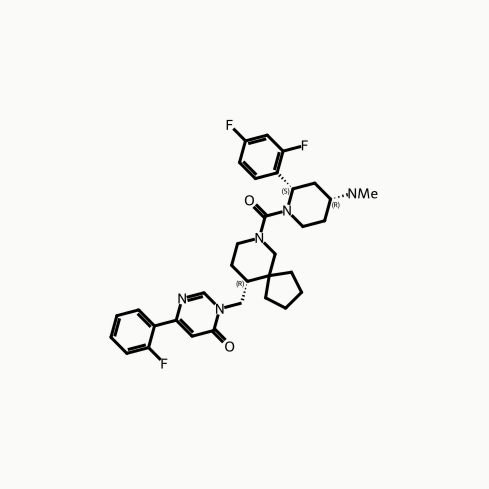 CN[C@@H]1CCN(C(=O)N2CC[C@@H](Cn3cnc(-c4ccccc4F)cc3=O)C3(CCCC3)C2)[C@H](c2ccc(F)cc2F)C1